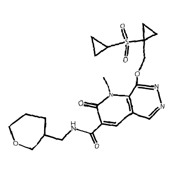 Cn1c(=O)c(C(=O)NCC2CCCOC2)cc2cnnc(OCC3(S(=O)(=O)C4CC4)CC3)c21